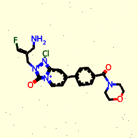 NC/C(=C\F)Cn1c(=O)[n+]2ccc(-c3ccc(C(=O)N4CCOCC4)cc3)cc2n1Cl